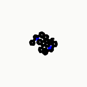 CC1C=CCC(c2ccc(C3=CCCC=C3)n2-c2ccc3c(-c4ccccc4-c4ccccc4)c4cc(-n5c(-c6ccccc6)ccc5-c5ccccc5)ccc4c(-c4cccc5ccccc45)c3c2)C1